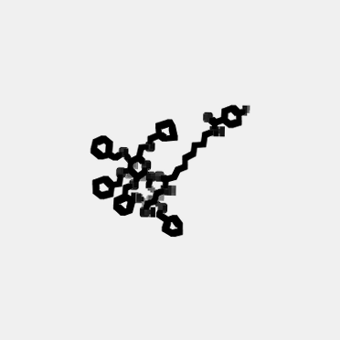 CC[C@@H](O)[C@@H](OCc1ccccc1)[C@H](CO[C@H]1OC(COCc2ccccc2)[C@H](OCc2ccccc2)[C@H](OCc2ccccc2)C1OCc1ccccc1)NC(=O)CCCCCCCCNC(=O)c1ccc(F)cc1